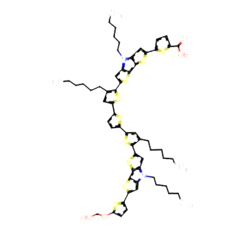 CCCCCCc1cc(-c2ccc(-c3cc(CCCCCC)c(-c4cc5c(s4)c4sc(-c6ccc(C(=O)O)s6)cc4n5CCCCCC)s3)s2)sc1-c1cc2c(s1)c1sc(-c3ccc(OCO)s3)cc1n2CCCCCC